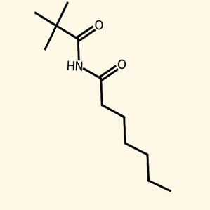 CCCCCCC(=O)NC(=O)C(C)(C)C